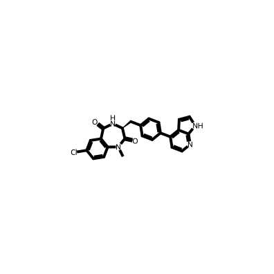 CN1C(=O)[C@H](Cc2ccc(-c3ccnc4[nH]ccc34)cc2)NC(=O)c2cc(Cl)ccc21